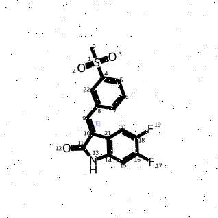 CS(=O)(=O)c1cccc(/C=C2/C(=O)Nc3cc(F)c(F)cc32)c1